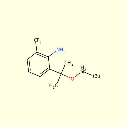 CC(C)(C)[SiH2]OC(C)(C)c1cccc(C(F)(F)F)c1N